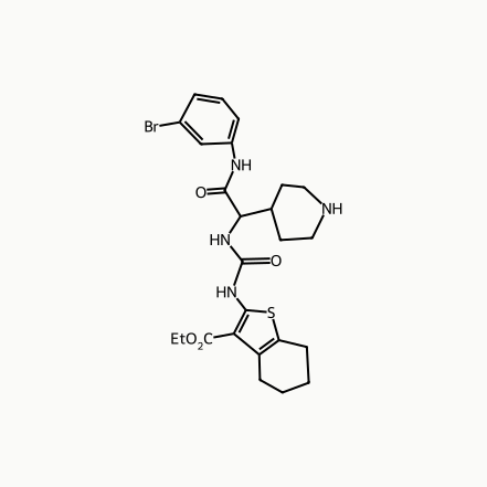 CCOC(=O)c1c(NC(=O)NC(C(=O)Nc2cccc(Br)c2)C2CCNCC2)sc2c1CCCC2